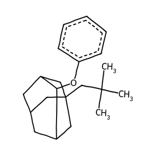 CC(C)(C)CC12CC3CC(C1)C(Oc1ccccc1)C(C3)C2